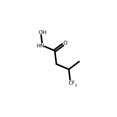 CC(CC(=O)NO)C(F)(F)F